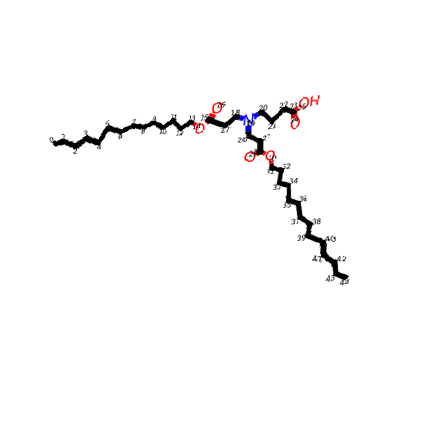 CCCCCCCCCCCCCCOC(=O)CCN(CCCC(=O)O)CCC(=O)OCCCCCCCCCCCCCC